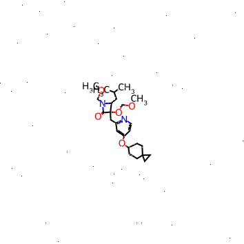 COCOC1(Cc2cc(OC3CCC4(CC3)CC4)ccn2)C(=O)N(COC)C1CC(C)C